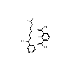 CC(C)CCCCCC(O)c1cncnc1.Cc1c(C(=O)O)cccc1C(=O)O